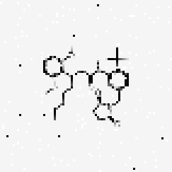 CCCCCC(CC(=O)Nc1cc(CN2C(=O)CCC2=O)ccc1C(C)(C)C)c1c(OC)cccc1OC